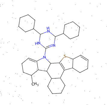 CC1CCC=C2C1C1C3CCCCC3C3=C(SC4C=CCCC34)C1N2C1=NC(C2CCCCC2)NC(C2CCCCC2)N1